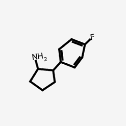 NC1CCCC1c1ccc(F)cc1